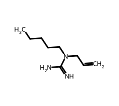 C=CCN(CCCCC)C(=N)N